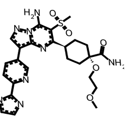 COCCO[C@]1(C(N)=O)CC[C@@H](c2nc3c(-c4ccc(-c5ncc[nH]5)nc4)cnn3c(N)c2S(C)(=O)=O)CC1